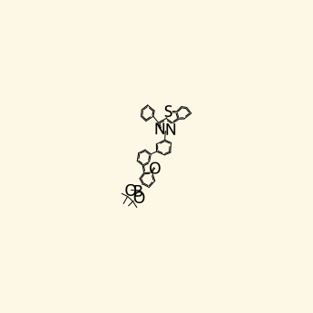 CC1(C)OB(c2ccc3oc4c(-c5cccc(-c6nc(-c7ccccc7)c7sc8ccccc8c7n6)c5)cccc4c3c2)OC1(C)C